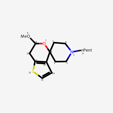 CCCCCN1CCC2(CC1)OC(OC)Cc1sccc12